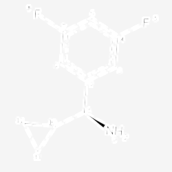 N[C@H](c1cc(F)cc(F)c1)C1CC1